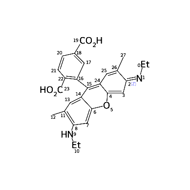 CC/N=c1/cc2oc3cc(NCC)c(C)cc3c(-c3cc(C(=O)O)ccc3C(=O)O)c-2cc1C